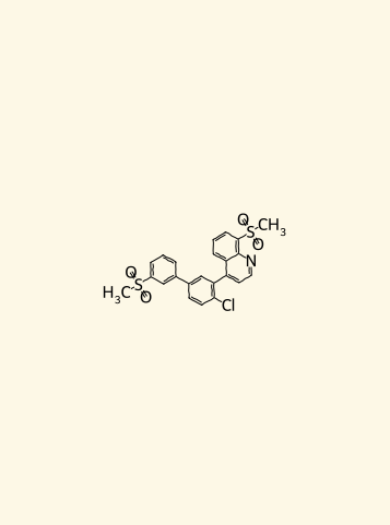 CS(=O)(=O)c1cccc(-c2ccc(Cl)c(-c3ccnc4c(S(C)(=O)=O)cccc34)c2)c1